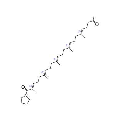 CC(=O)CC/C=C(\C)CC/C=C(\C)CC/C=C(\C)CC/C=C(\C)CC/C=C(\C)C(=O)N1CCCC1